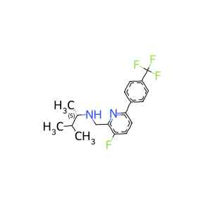 CC(C)[C@H](C)NCc1nc(-c2ccc(C(F)(F)F)cc2)ccc1F